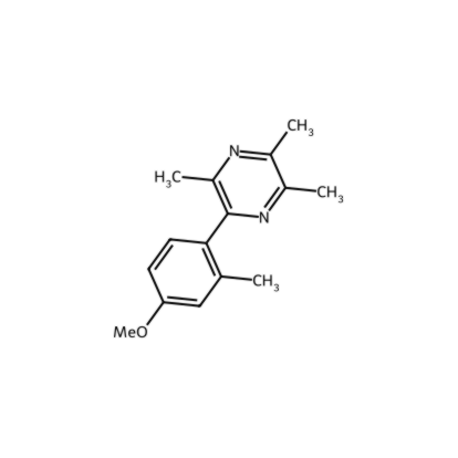 COc1ccc(-c2nc(C)c(C)nc2C)c(C)c1